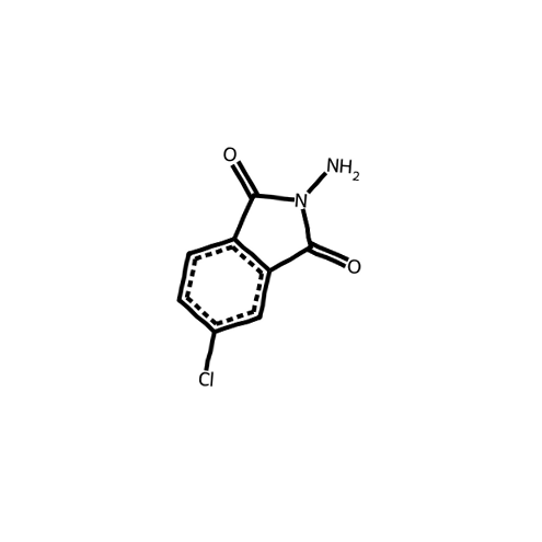 NN1C(=O)c2ccc(Cl)cc2C1=O